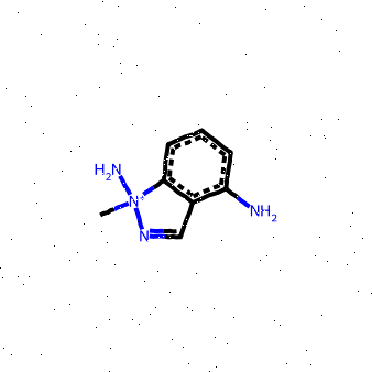 C[N+]1(N)N=Cc2c(N)cccc21